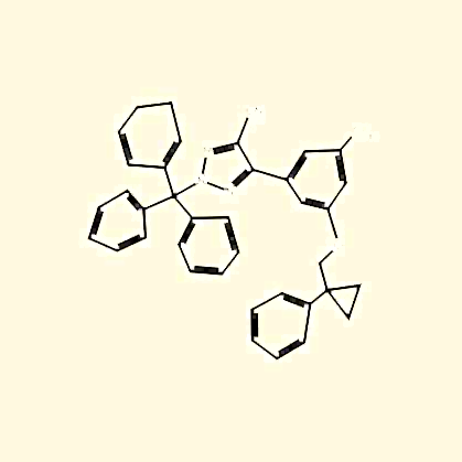 N#Cc1nn(C(C2=CCCC=C2)(c2ccccc2)c2ccccc2)nc1-c1cc(OCC2(c3ccccc3)CC2)cc(C(F)(F)F)c1